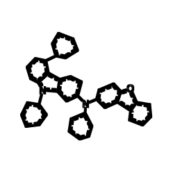 c1ccc(-c2cccc3c2c2ccc(N(c4ccccc4)c4ccc5oc6ccccc6c5c4)cc2n3-c2ccccc2)cc1